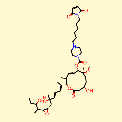 CCC(O)C(C)[C@@H]1O[C@H]1CC(C)(O)/C=C/C=C(\C)[C@H]1OC(=O)C[C@H](O)CC[C@@](C)(OC)[C@@H](OC(=O)N2CCN(CCCCCCN3C(=O)C=CC3=O)CC2)/C=C/[C@@H]1C